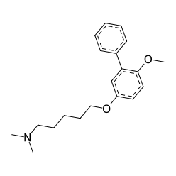 COc1ccc(OCCCCCN(C)C)cc1-c1ccccc1